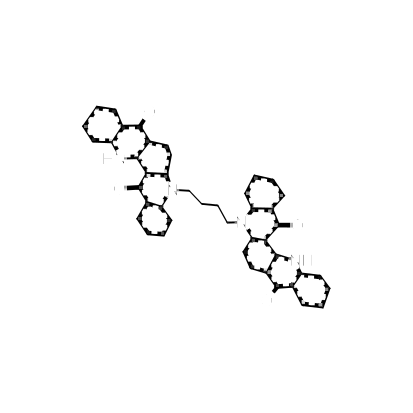 O=c1c2ccccc2[nH]c2c1ccc1c2c(=O)c2ccccc2n1CCCCn1c2ccccc2c(=O)c2c3[nH]c4ccccc4c(=O)c3ccc21